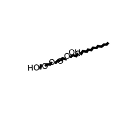 CCCCCCCCCCCCOCC(O)COCCOCCOCCOCCO